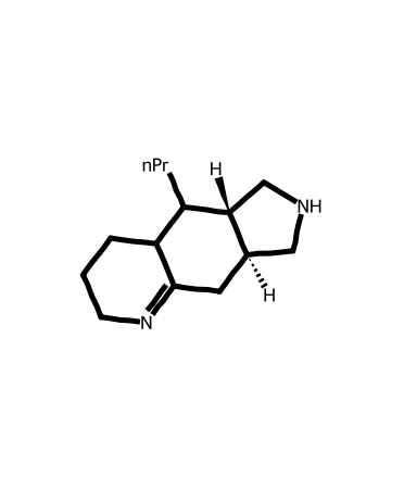 CCCC1C2CCCN=C2C[C@@H]2CNC[C@@H]12